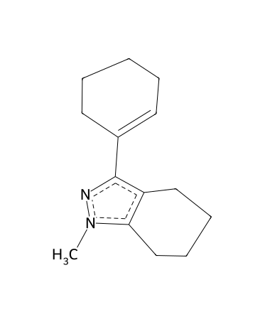 Cn1nc(C2=CCCCC2)c2c1CCCC2